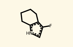 Fc1c[nH]c2c1CCCC2